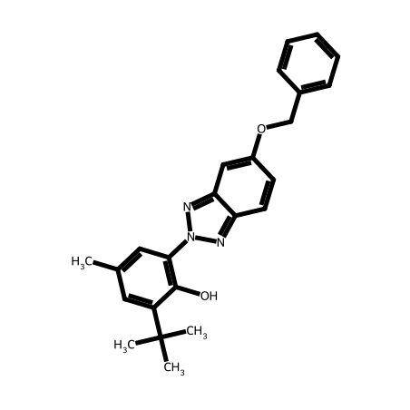 Cc1cc(-n2nc3ccc(OCc4ccccc4)cc3n2)c(O)c(C(C)(C)C)c1